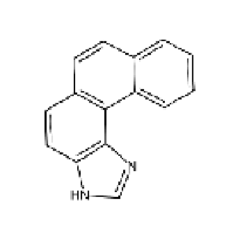 c1ccc2c(c1)ccc1ccc3[nH]cnc3c12